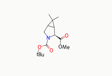 COC(=O)[C@@H]1C2C(CN1C(=O)OC(C)(C)C)C2(C)C